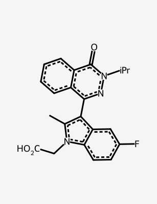 Cc1c(-c2nn(C(C)C)c(=O)c3ccccc23)c2cc(F)ccc2n1CC(=O)O